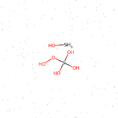 OO[Si](O)(O)O.O[SiH3]